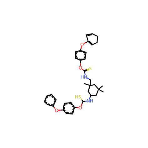 CC1(C)CC(NC(S)Oc2ccc(Oc3ccccc3)cc2)CC(C)(CNC(=S)Oc2ccc(OC3=CCCC=C3)cc2)C1